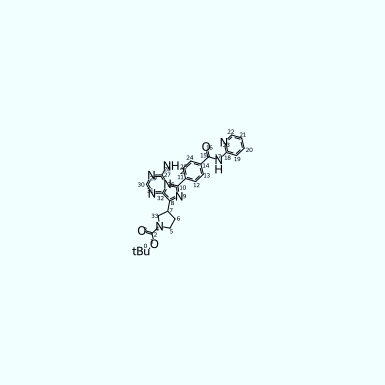 CC(C)(C)OC(=O)N1CCC(c2nc(-c3ccc(C(=O)Nc4ccccn4)cc3)n3c(N)ncnc23)C1